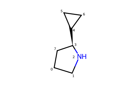 C1CN[C@H]([C]2CC2)C1